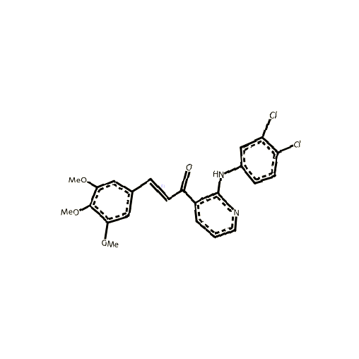 COc1cc(/C=C/C(=O)c2cccnc2Nc2ccc(Cl)c(Cl)c2)cc(OC)c1OC